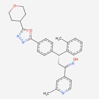 Cc1cc(/C(C[C@H](c2ccc(-c3nnc(C4CCOCC4)o3)cc2)c2ccccc2C)=N/O)ccn1